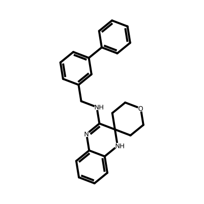 c1ccc(-c2cccc(CNC3=Nc4ccccc4NC34CCOCC4)c2)cc1